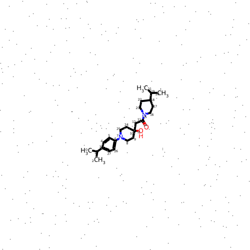 CC(C)c1ccc(N2CCC(O)(CC(=O)N3CCC(C(C)C)CC3)CC2)cc1